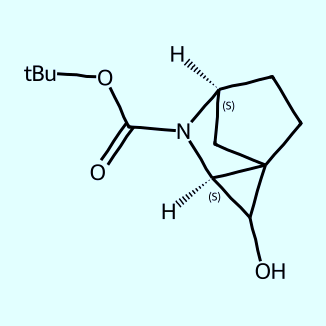 CC(C)(C)OC(=O)N1[C@H]2CCC3(C2)C(O)[C@@H]13